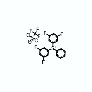 Fc1cc(F)cc([S+](c2ccccc2)c2cc(F)cc(F)c2)c1.O=S(=O)([O-])C(F)(F)F